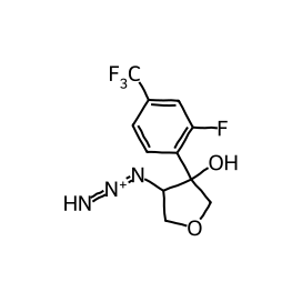 N=[N+]=NC1COCC1(O)c1ccc(C(F)(F)F)cc1F